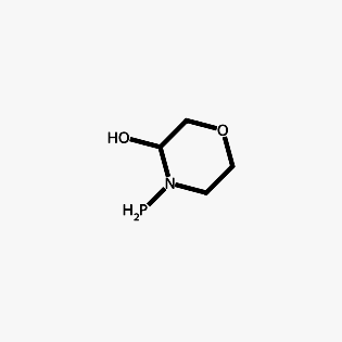 OC1COCCN1P